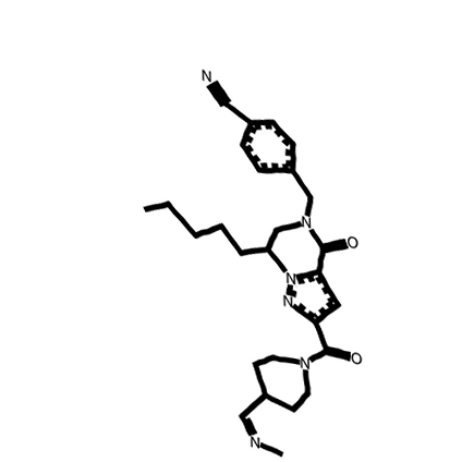 CCCCCC1CN(Cc2ccc(C#N)cc2)C(=O)c2cc(C(=O)N3CCC(/C=N\C)CC3)nn21